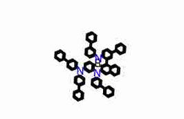 c1ccc(-c2ccc(N(c3ccc(-c4ccccc4)cc3)c3ccc4c(c3)N(c3cccc(-c5ccccc5)c3)c3cc5ccccc5c5c3B4N(c3cccc(-c4ccccc4)c3)c3ccc(-c4ccccc4)cc3-5)cc2)cc1